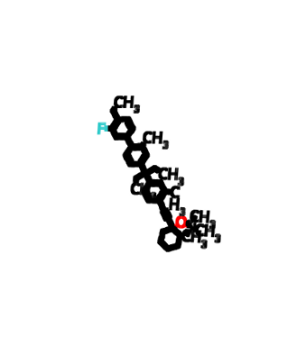 CCc1ccc(-c2ccc(C(CC)(CC)c3ccc(C#CC4(O[Si](C)(C)C)CCCCC4)c(C)c3)cc2C)cc1F